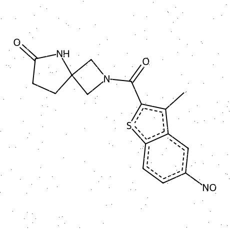 Cc1c(C(=O)N2CC3(CCC(=O)N3)C2)sc2ccc(N=O)cc12